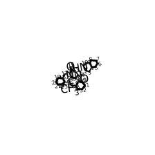 O=C([C@H]1Cc2ccccc2CN1)N1CC(=O)N(Cc2cccc(C(F)(F)F)c2)[C@@H](CCc2ccccc2)C1